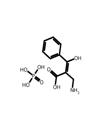 NCC(C(=O)O)=C(O)c1ccccc1.O=P(O)(O)O